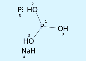 OP(O)O.[NaH].[P]